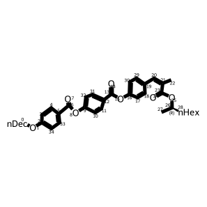 CCCCCCCCCCOc1ccc(C(=O)Oc2ccc(C(=O)Oc3ccc(C=C(C)C(=O)O[C@H](C)CCCCCC)cc3)cc2)cc1